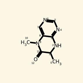 CC1Nc2ncncc2N(C)C1=O